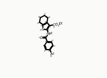 CCOC(=O)c1c(NC(=O)c2ccc(C(C)=O)cc2)sc2c1CCCC2